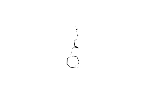 [N-]=[N+]=NCC(=O)NN1CCCNCC1